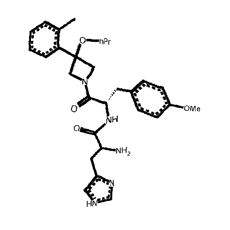 CCCOC1(c2ccccc2C)CN(C(=O)[C@H](Cc2ccc(OC)cc2)NC(=O)C(N)Cc2c[nH]cn2)C1